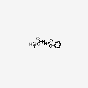 C[SiH](C)OC(=O)N=NC(=O)Oc1ccccc1